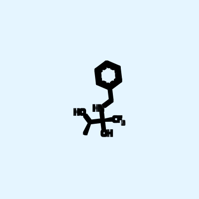 C[C@@H](O)[C@@](O)(NCc1ccccc1)C(F)(F)F